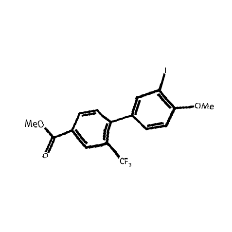 COC(=O)c1ccc(-c2ccc(OC)c(I)c2)c(C(F)(F)F)c1